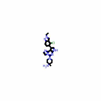 CCn1cc2c(Cl)c(-c3c[nH]c4nc(N5CCC(C)(N)CC5)n5ccnc5c34)ccc2n1